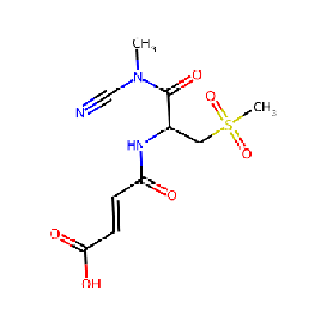 CN(C#N)C(=O)C(CS(C)(=O)=O)NC(=O)C=CC(=O)O